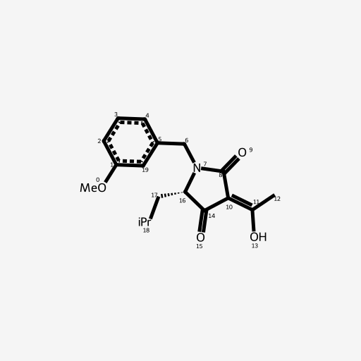 COc1cccc(CN2C(=O)/C(=C(\C)O)C(=O)[C@@H]2CC(C)C)c1